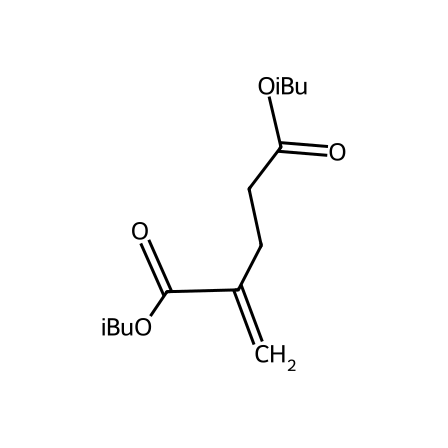 C=C(CCC(=O)OCC(C)C)C(=O)OCC(C)C